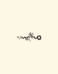 CO[Si](CCC(N)CCN)(OC)OCCc1ccccc1